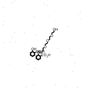 O=C(O)c1ccccc1O.O=C(O)c1ccccc1O.OCCOCCOCCOCCO